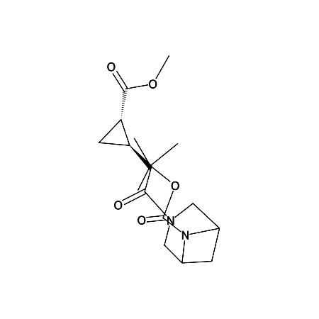 COC(=O)[C@H]1C[C@@H]1CC(=O)N1CC2CC(C1)N2C(=O)OC(C)(C)C